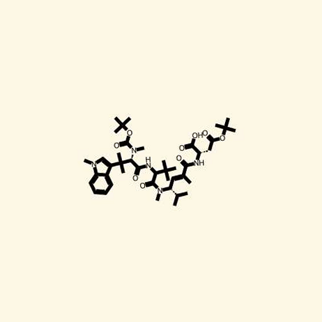 C/C(=C\[C@H](C(C)C)N(C)C(=O)C(NC(=O)[C@@H](N(C)C(=O)OC(C)(C)C)C(C)(C)c1cn(C)c2ccccc12)C(C)(C)C)C(=O)N[C@@H](CC(=O)OC(C)(C)C)C(=O)O